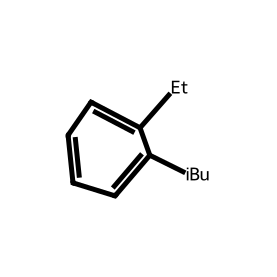 [CH2]C(CC)c1ccccc1CC